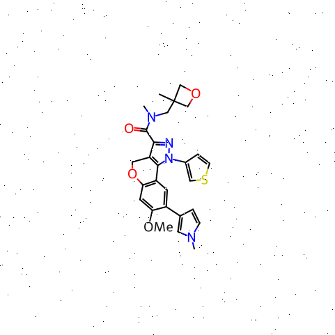 COc1cc2c(cc1-c1ccn(C)c1)-c1c(c(C(=O)N(C)CC3(C)COC3)nn1-c1ccsc1)CO2